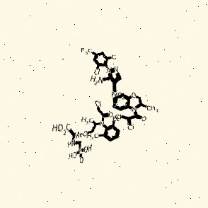 CC1COc2ccccc2N1C(=O)C(Cl)Cl.CCc1cccc(C)c1N(C(=O)CCl)C(C)COC.Nc1c([N+](=O)[O-])cnn1-c1c(Cl)cc(C(F)(F)F)cc1Cl.O=C(O)CNCP(=O)(O)O